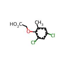 Cc1cc(Cl)cc(Cl)c1OCC(=O)O